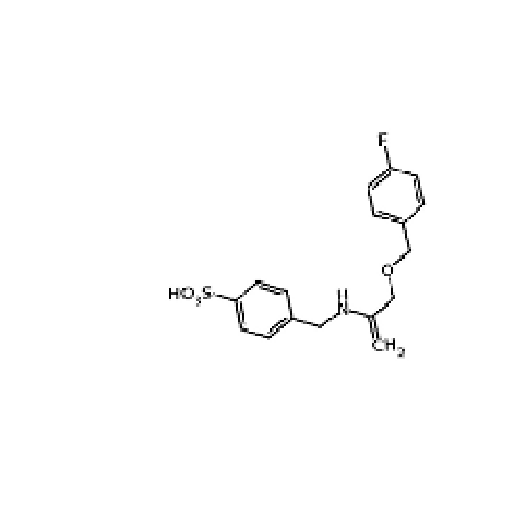 C=C(COCc1ccc(F)cc1)NCc1ccc(S(=O)(=O)O)cc1